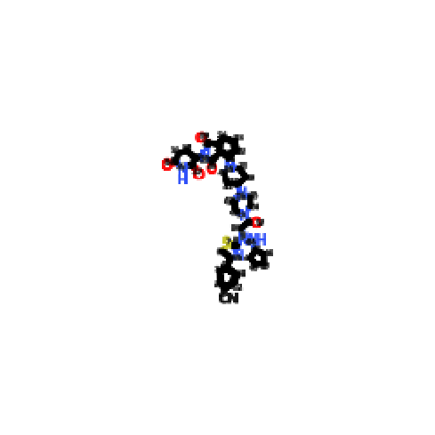 N#Cc1ccc(-c2csc(N(CC(=O)N3CCN(C4CCN(c5cccc6c5C(=O)N(C5CCC(=O)NC5=O)C6=O)CC4)CC3)NC3CCCC3)n2)cc1